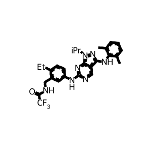 CCc1ccc(Nc2ncc3c(Nc4c(C)cccc4C)nn(C(C)C)c3n2)cc1CNC(=O)C(F)(F)F